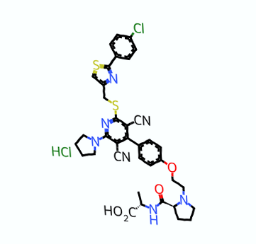 C[C@H](NC(=O)[C@@H]1CCCN1CCOc1ccc(-c2c(C#N)c(SCc3csc(-c4ccc(Cl)cc4)n3)nc(N3CCCC3)c2C#N)cc1)C(=O)O.Cl